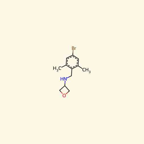 Cc1cc(Br)cc(C)c1CNC1COC1